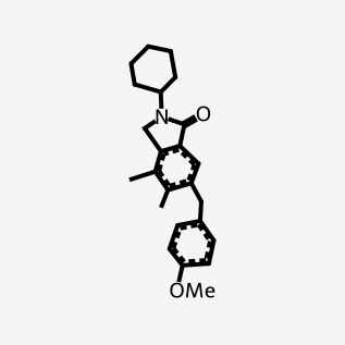 COc1ccc(Cc2cc3c(c(C)c2C)CN(C2CCCCC2)C3=O)cc1